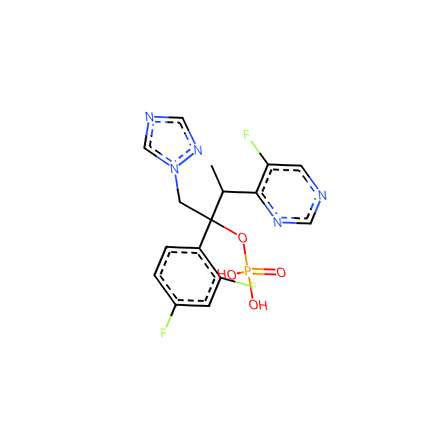 CC(c1ncncc1F)C(Cn1cncn1)(OP(=O)(O)O)c1ccc(F)cc1F